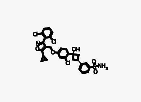 NS(=O)(=O)c1cccc([C@H]2C[C@](O)(C3CC=C(OCc4c(-c5c(Cl)cccc5Cl)noc4C4CC4)C=C3Cl)C2)c1